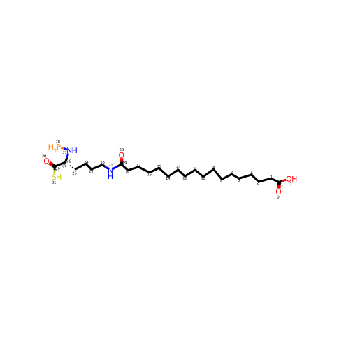 O=C(O)CCCCCCCCCCCCCCCCC(=O)NCCCC[C@@H](NP)C(=O)S